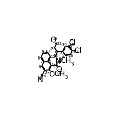 COc1c(C#N)cc2ccccc2c1C(=O)N(C)CC(CC=O)c1ccc(Cl)c(Cl)c1